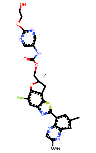 COc1cnc2c(-c3nc4cc(F)c5c(c4s3)C[C@](C)(COC(=O)Nc3cnc(OCCO)nc3)O5)cc(C)cc2n1